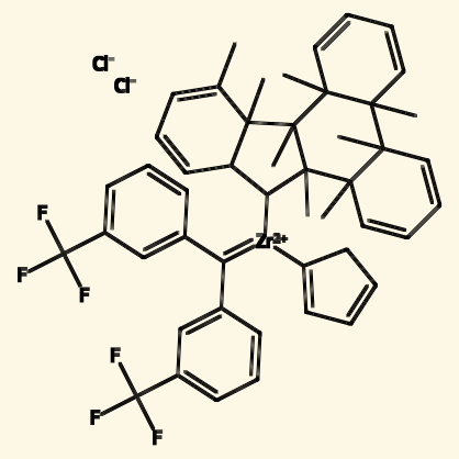 CC1=CC=CC2[CH]([Zr+2]([C]3=CC=CC3)=[C](c3cccc(C(F)(F)F)c3)c3cccc(C(F)(F)F)c3)C3(C)C4(C)C=CC=CC4(C)C4(C)C=CC=CC4(C)C3(C)C12C.[Cl-].[Cl-]